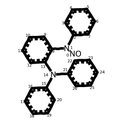 O=NN(c1ccccc1)c1ccccc1N(c1ccccc1)c1ccccc1